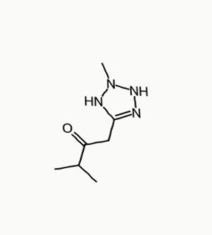 CC(C)C(=O)CC1=NNN(C)N1